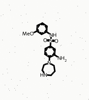 COc1cccc(NS(=O)(=O)c2ccc(N3CCCNCC3)c(N)c2)c1